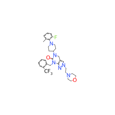 Cc1cccc(F)c1N1CCC(N2Cc3cn(CCN4CCOCC4)nc3N(Cc3ccccc3C(F)(F)F)C2=O)CC1